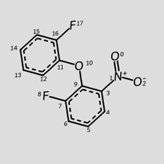 O=[N+]([O-])c1cccc(F)c1Oc1ccccc1F